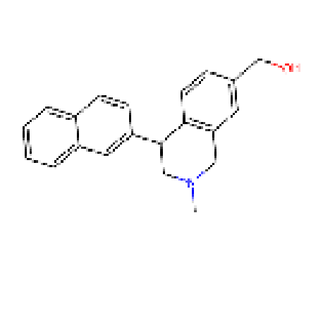 CN1Cc2cc(CO)ccc2C(c2ccc3ccccc3c2)C1